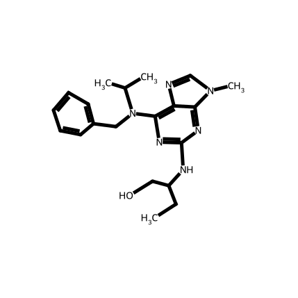 CCC(CO)Nc1nc(N(Cc2ccccc2)C(C)C)c2ncn(C)c2n1